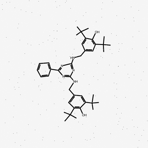 CC(C)(C)c1cc(CNc2nc(NCc3cc(C(C)(C)C)c(O)c(C(C)(C)C)c3)nc(-c3ccccc3)n2)cc(C(C)(C)C)c1O